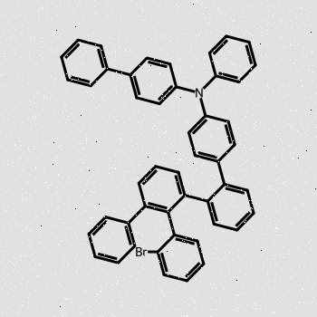 Brc1ccccc1-c1c(-c2ccccc2)cccc1-c1ccccc1-c1ccc(N(c2ccccc2)c2ccc(-c3ccccc3)cc2)cc1